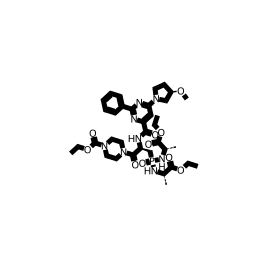 CCOC(=O)[C@H](C)NP(=O)(C[C@H](NC(=O)c1cc(N2CC[C@H](OC)C2)nc(-c2ccccc2)n1)C(=O)N1CCN(C(=O)OCC)CC1)N[C@@H](C)C(=O)OCC